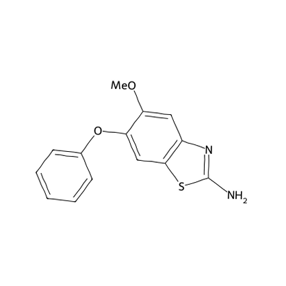 COc1cc2nc(N)sc2cc1Oc1ccccc1